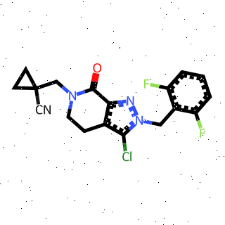 N#CC1(CN2CCc3c(nn(Cc4c(F)cccc4F)c3Cl)C2=O)CC1